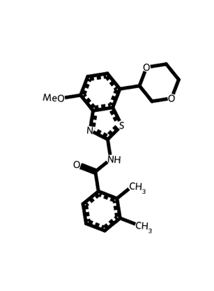 COc1ccc(C2COCCO2)c2sc(NC(=O)c3cccc(C)c3C)nc12